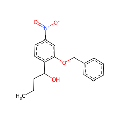 CCCC(O)c1ccc([N+](=O)[O-])cc1OCc1ccccc1